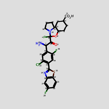 NC(C(=O)C(F)(OC1CCC(C(=O)O)CC1)N1CCCC1)c1cc(Cl)c(-c2nc3cc(F)ccc3s2)cc1F